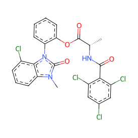 C[C@H](NC(=O)c1c(Cl)cc(Cl)cc1Cl)C(=O)Oc1ccccc1-n1c(=O)n(C)c2cccc(Cl)c21